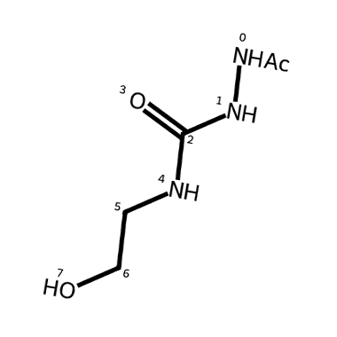 CC(=O)NNC(=O)NCCO